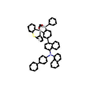 c1ccc(-c2ccc(N(c3cccc4ccccc34)c3ccc(-c4ccc5c(c4)[Si]4(c6ccccc6Sc6ccccc64)c4ccccc4[SiH]5c4ccccc4)c4ccccc34)cc2)cc1